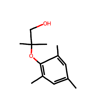 Cc1cc(C)c(OC(C)(C)CO)c(C)c1